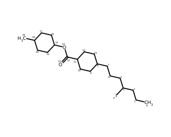 CCCC(I)CCCC1CCC(C(=O)OC2CCC(C)CC2)CC1